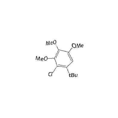 COc1cc(C(C)(C)C)c(Cl)c(OC)c1OC